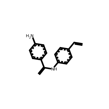 C=Cc1ccc(NC(=C)c2ccc(N)cc2)cc1